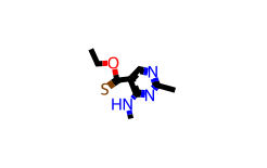 CCOC(=S)c1cnc(C)nc1NC